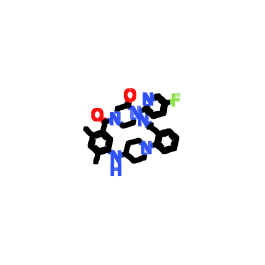 Cc1cc(C)c(C(=O)N2CCN(c3ccc(F)cn3)C(=O)C2)cc1NC1CCN(c2ccccc2C#N)CC1